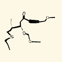 CCSC[C@H](C)[C@@H](OCOC)C(=O)C#CCOC